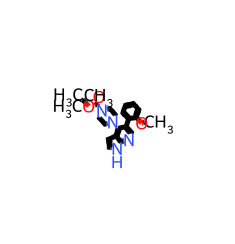 COc1ccccc1-c1cnc2[nH]ccc2c1N1CCN(C(=O)OC(C)(C)C)CC1